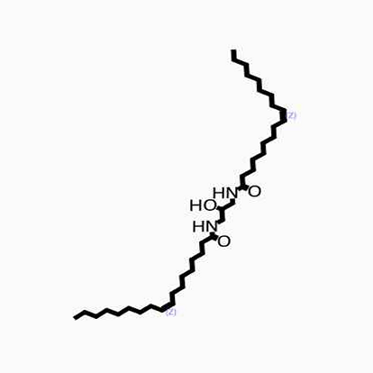 CCCCCCCC/C=C\CCCCCCCC(=O)NCC(O)CNC(=O)CCCCCCC/C=C\CCCCCCCC